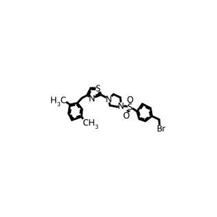 Cc1ccc(C)c(Cc2csc(N3CCN(S(=O)(=O)c4ccc(CBr)cc4)CC3)n2)c1